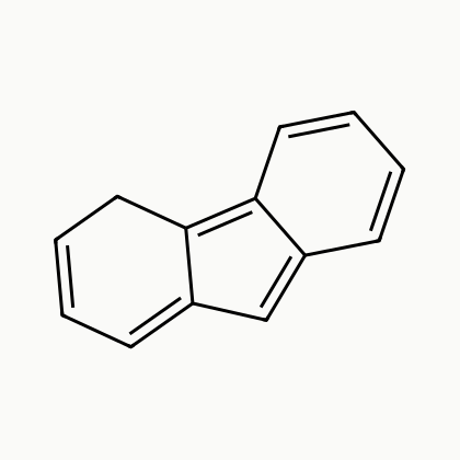 C1=CCC2=c3ccccc3=CC2=C1